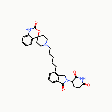 O=C1CCC(N2Cc3c(CCCCCN4CCC5(CC4)OC(=O)Nc4ccccc45)cccc3C2=O)C(=O)N1